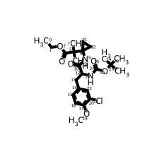 CCOC(=O)C(C)(C)C1(NC(=O)C(Cc2ccc(OC)c(Cl)c2)NC(=O)OC(C)(C)C)CC1